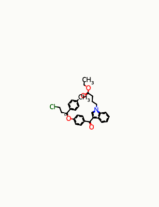 CCOC(=O)CCCn1cc(C(=O)c2ccc(O[C@@H](CCCl)c3ccc(C)cc3)cc2)c2ccccc21